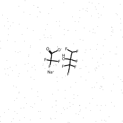 O=C([O-])C(F)(F)F.OC(F)(C(F)F)C(F)(F)F.[Na+]